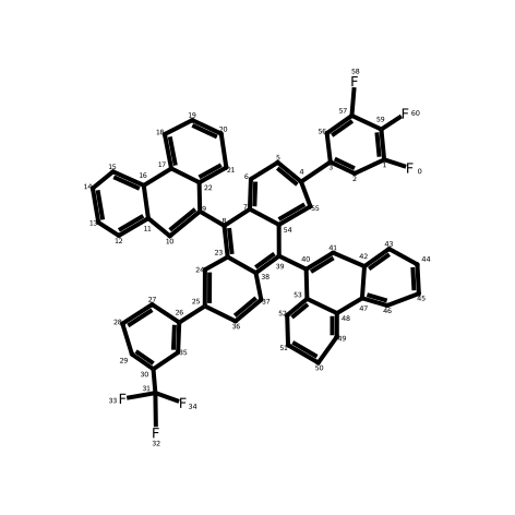 Fc1cc(-c2ccc3c(-c4cc5ccccc5c5ccccc45)c4cc(-c5cccc(C(F)(F)F)c5)ccc4c(-c4cc5ccccc5c5ccccc45)c3c2)cc(F)c1F